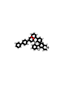 c1ccc(-c2ccc(-c3cccc(N(c4ccccc4-c4ccccc4)c4cccc5oc6c7ccncc7ccc6c45)c3)cc2)cc1